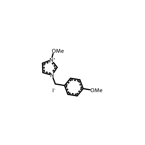 COc1ccc(Cn2cc[n+](OC)c2)cc1.[I-]